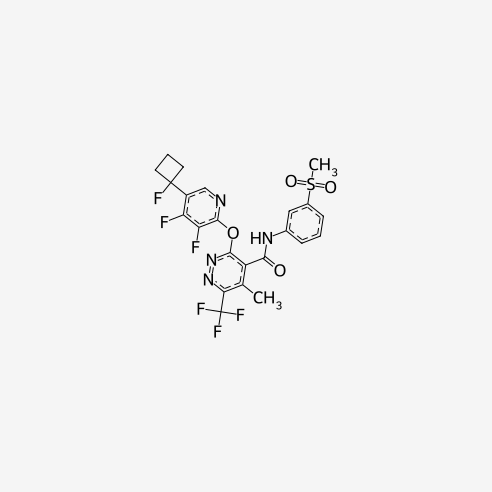 Cc1c(C(F)(F)F)nnc(Oc2ncc(C3(F)CCC3)c(F)c2F)c1C(=O)Nc1cccc(S(C)(=O)=O)c1